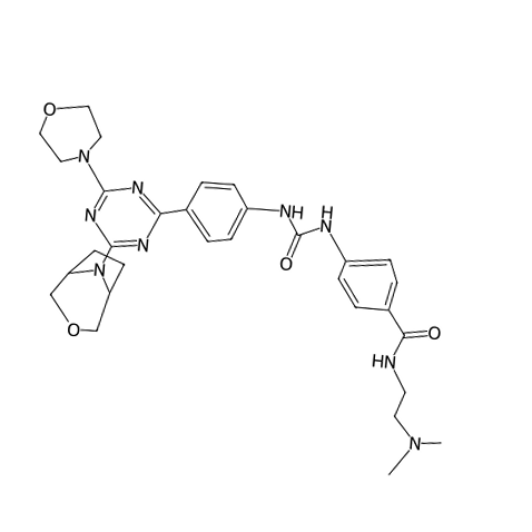 CN(C)CCNC(=O)c1ccc(NC(=O)Nc2ccc(-c3nc(N4CCOCC4)nc(N4C5CCC4COC5)n3)cc2)cc1